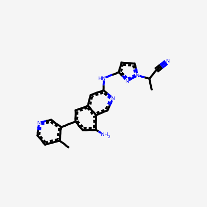 Cc1ccncc1-c1cc(N)c2cnc(Nc3ccn(C(C)C#N)n3)cc2c1